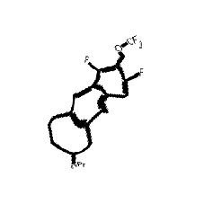 CCCC1CCc2cc3c(F)c(OC(F)(F)F)c(F)cc3cc2C1